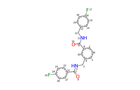 O=C(NCc1cccc(C(=O)NCc2ccc(F)cc2)c1)c1ccc(F)cc1